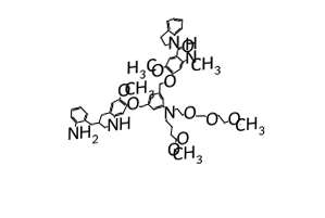 CNc1cc(OCc2cc(COc3cc4c(cc3OC)CC(Cc3ccccc3N)CN4)cc(N(CCCC(=O)OC)CCOCCOCCOC)c2)c(OC)cc1C(=O)N1CCc2ccccc21